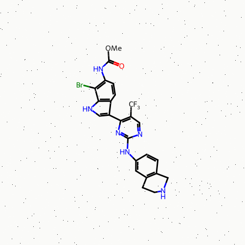 COC(=O)Nc1ccc2c(-c3nc(Nc4ccc5c(c4)CCNC5)ncc3C(F)(F)F)c[nH]c2c1Br